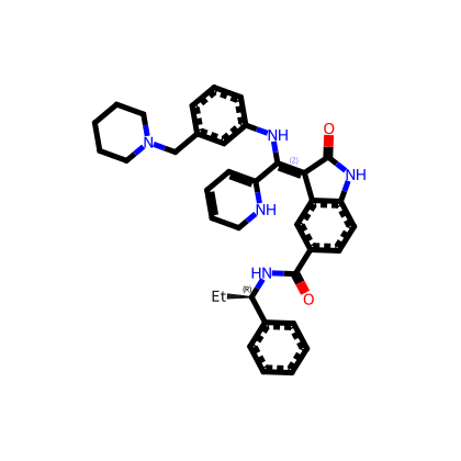 CC[C@@H](NC(=O)c1ccc2c(c1)/C(=C(/Nc1cccc(CN3CCCCC3)c1)C1=CC=CCN1)C(=O)N2)c1ccccc1